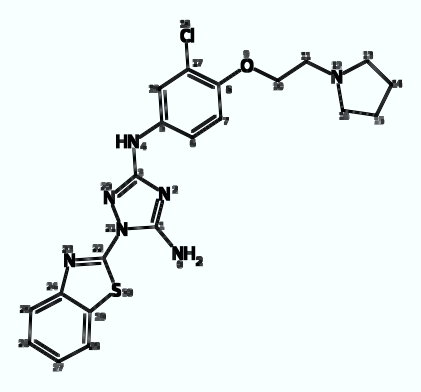 Nc1nc(Nc2ccc(OCCN3CCCC3)c(Cl)c2)nn1-c1nc2ccccc2s1